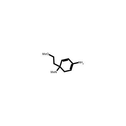 CNC1(CCOC)C=CC(N)=CC1